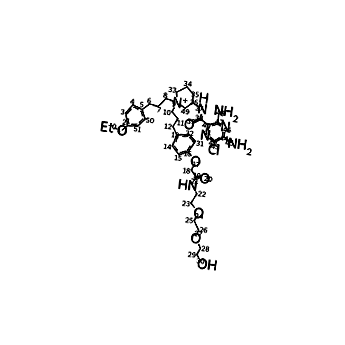 CCOc1ccc(CCC[N+]2(CCCc3ccc(OCC(=O)NCCOCCOCCO)cc3)CCCC(NC(=O)c3nc(Cl)c(N)nc3N)C2)cc1